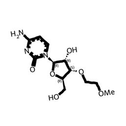 COCCO[C@H]1[C@@H](O)[C@H](n2ccc(N)nc2=O)O[C@@H]1CO